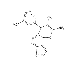 N#CC1=C(N)OC2C3=CC=NC3=CC=C2C1c1cncc(C#N)c1